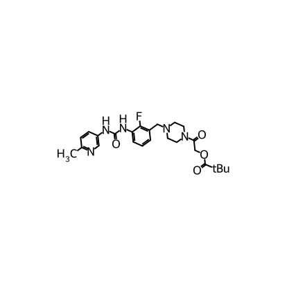 Cc1ccc(NC(=O)Nc2cccc(CN3CCN(C(=O)COC(=O)C(C)(C)C)CC3)c2F)cn1